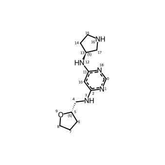 c1nc(NC[C@@H]2CCCO2)cc(N[C@H]2CCNC2)n1